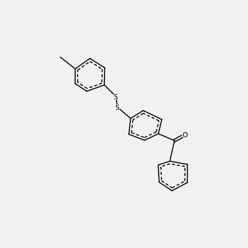 Cc1ccc(SSc2ccc(C(=O)c3ccccc3)cc2)cc1